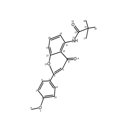 COc1ccc(-c2cc(=O)c3c(NC(=O)C(C)(C)C)cccc3o2)cc1